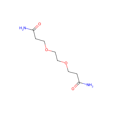 NC(=O)CCOCCOCCC(N)=O